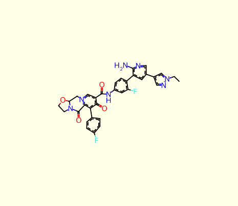 CCn1cc(-c2cnc(N)c(-c3ccc(NC(=O)c4cn5c(c(-c6ccc(F)cc6)c4=O)C(=O)N4CCOC4C5)cc3F)c2)cn1